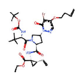 C=CCCOc1cnn([C@@H]2C[C@@H](C(=O)N[C@@]3(C(=O)OCC)C[C@H]3C=C)N(C(=O)[C@@H](NC(=O)OC(C)(C)C)C(C)(C)C)C2)c(=O)c1Br